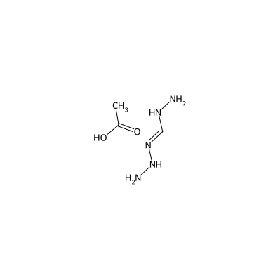 CC(=O)O.NNC=NNN